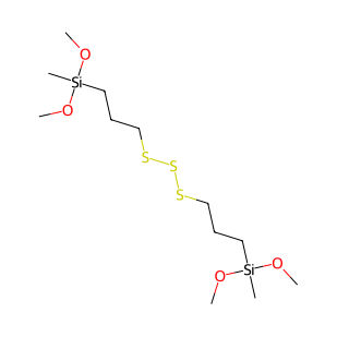 CO[Si](C)(CCCSSSCCC[Si](C)(OC)OC)OC